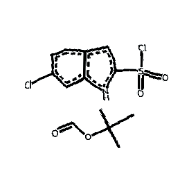 CC(C)(C)OC=O.O=S(=O)(Cl)c1cc2ccc(Cl)cc2[nH]1